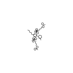 CCCCCc1cc(OP(=O)(CCCCOC(C)=O)OC)c(C2C=C(C)CCC2)c(OP(=O)(CCCCOC(C)=O)OC)c1